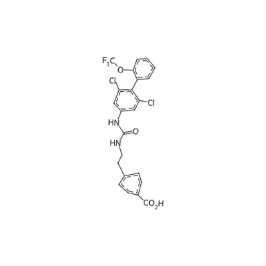 O=C(NCCc1ccc(C(=O)O)cc1)Nc1cc(Cl)c(-c2ccccc2OC(F)(F)F)c(Cl)c1